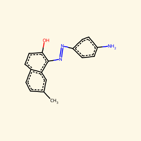 Cc1ccc2ccc(O)c(N=Nc3ccc(N)cc3)c2c1